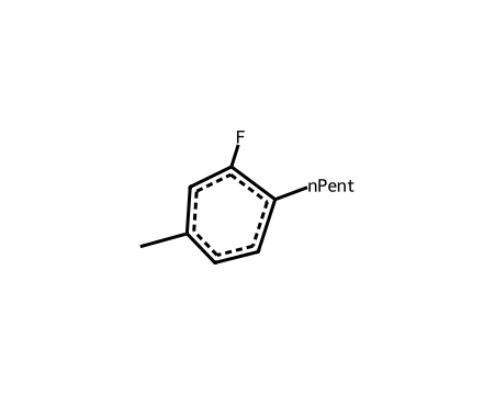 CCC[CH]Cc1ccc(C)cc1F